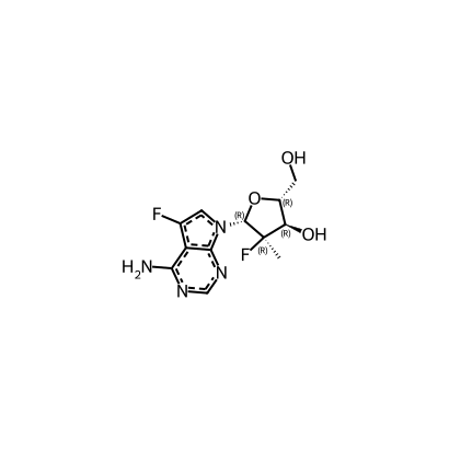 C[C@@]1(F)[C@H](O)[C@@H](CO)O[C@H]1n1cc(F)c2c(N)ncnc21